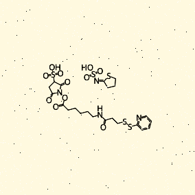 O=C(CCSSc1ccccn1)NCCCCCC(=O)ON1C(=O)CC(S(=O)(=O)O)C1=O.O=S(=O)(O)N=C1CCCS1